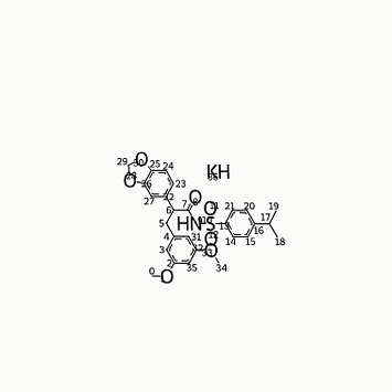 COc1cc(CC(C(=O)NS(=O)(=O)c2ccc(C(C)C)cc2)c2ccc3c(c2)OCO3)cc(OC)c1.[KH]